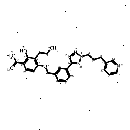 CCCc1c(OCc2cccc(-c3nnn(CCCc4cccnc4)n3)c2)ccc(C(C)=O)c1O